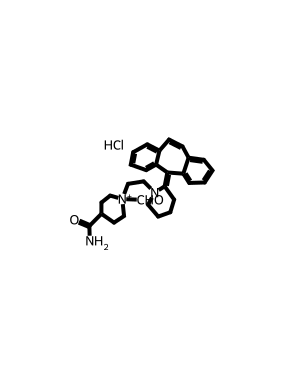 Cl.NC(=O)C1CC[N+](C=O)(CCN2CCCCC2=C2c3ccccc3C=Cc3ccccc32)CC1